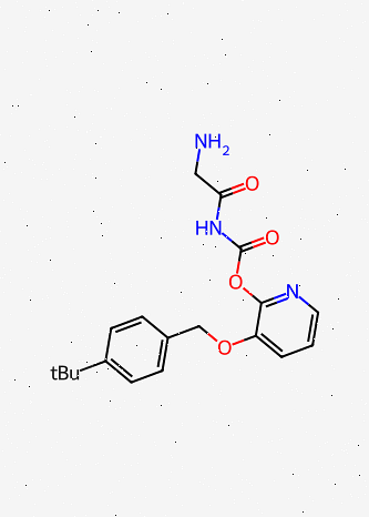 CC(C)(C)c1ccc(COc2cccnc2OC(=O)NC(=O)CN)cc1